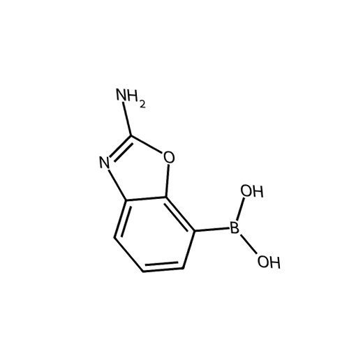 Nc1nc2cccc(B(O)O)c2o1